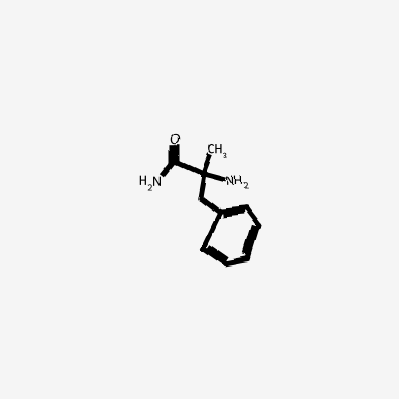 CC(N)(Cc1ccccc1)C(N)=O